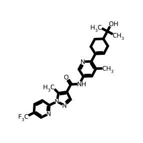 Cc1cc(NC(=O)c2cnn(-c3ccc(C(F)(F)F)cn3)c2C)cnc1C1=CCC(C(C)(C)O)CC1